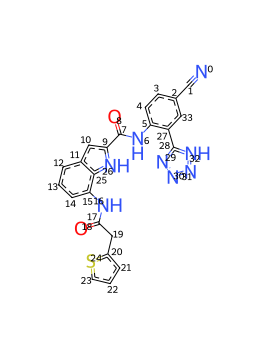 N#Cc1ccc(NC(=O)c2cc3cccc(NC(=O)Cc4cccs4)c3[nH]2)c(-c2nnn[nH]2)c1